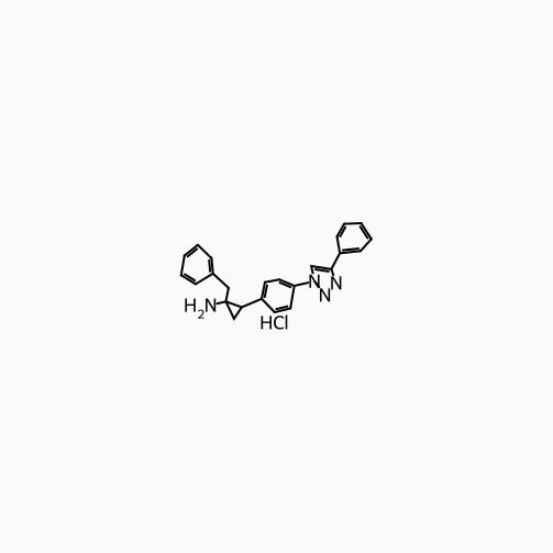 Cl.NC1(Cc2ccccc2)CC1c1ccc(-n2cc(-c3ccccc3)nn2)cc1